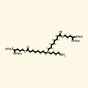 CCCCCCC(CCCCCC)CCCOC(=O)CCCCCCCN(CCCCN)CCCCCCCC(=O)OCCCC(CCCCCC)CCCCCC